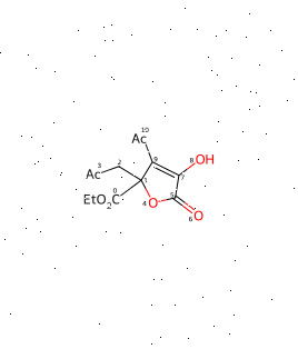 CCOC(=O)C1(CC(C)=O)OC(=O)C(O)=C1C(C)=O